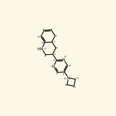 C1=CCC2CC(c3ncc(N4CCC4)cn3)CNC2=C1